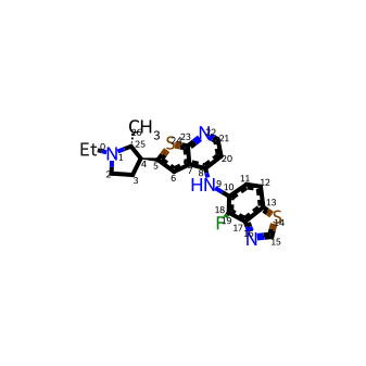 CCN1CC[C@H](c2cc3c(Nc4ccc5scnc5c4F)ccnc3s2)[C@H]1C